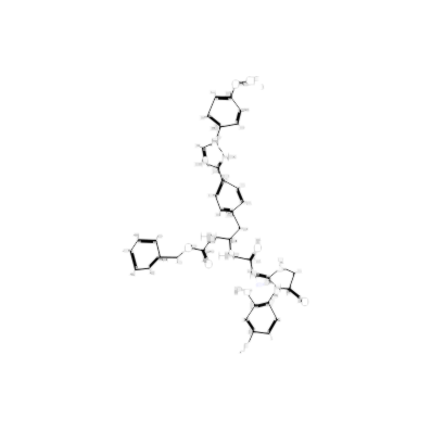 CC(C)c1cc(F)ccc1N1C(=O)CS/C1=N\C(=O)NC(Cc1ccc(-c2ncn(-c3ccc(OC(F)(F)F)cc3)n2)cc1)NC(=O)OCc1ccccc1